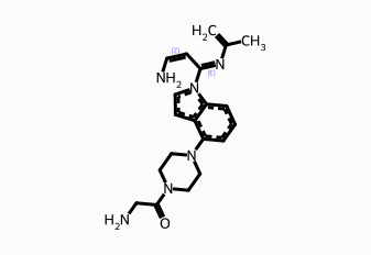 C=C(C)/N=C(\C=C/N)n1ccc2c(N3CCN(C(=O)CN)CC3)cccc21